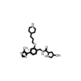 Cc1ncsc1-c1ccc(CNC(=O)C2CC(O)CN2)c(OCCCC2CCNCC2)c1